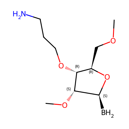 B[C@@H]1O[C@H](COC)[C@@H](OCCCN)[C@H]1OC